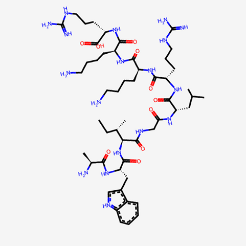 CC[C@H](C)[C@H](NC(=O)[C@H](Cc1c[nH]c2ccccc12)NC(=O)[C@H](C)N)C(=O)NCC(=O)N[C@@H](CC(C)C)C(=O)N[C@@H](CCCNC(=N)N)C(=O)N[C@@H](CCCCN)C(=O)N[C@@H](CCCCN)C(=O)N[C@@H](CCCNC(=N)N)C(=O)O